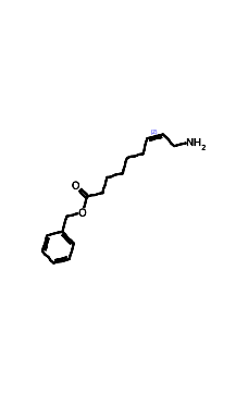 NC/C=C\CCCCCC(=O)OCc1ccccc1